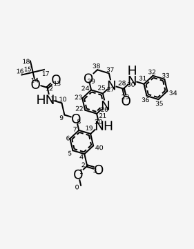 COC(=O)c1ccc(OCCNC(=O)OC(C)(C)C)c(Nc2ccc3c(n2)N(C(=O)Nc2ccccc2)CCO3)c1